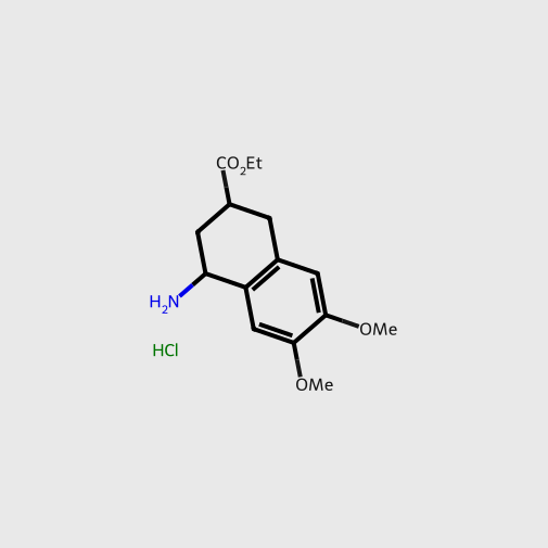 CCOC(=O)C1Cc2cc(OC)c(OC)cc2C(N)C1.Cl